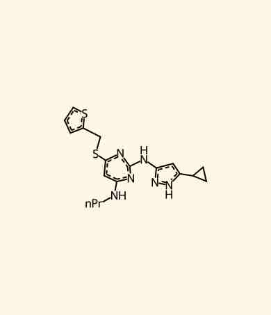 CCCNc1cc(SCc2cccs2)nc(Nc2cc(C3CC3)[nH]n2)n1